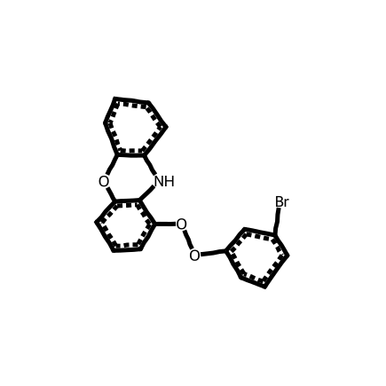 Brc1cccc(OOc2cccc3c2Nc2ccccc2O3)c1